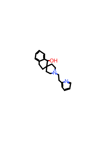 OC1c2ccccc2CCC12CCN(CCc1ccccn1)CC2